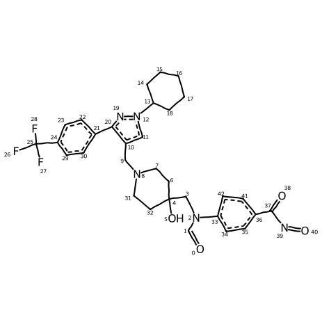 O=CN(CC1(O)CCN(Cc2cn(C3CCCCC3)nc2-c2ccc(C(F)(F)F)cc2)CC1)c1ccc(C(=O)N=O)cc1